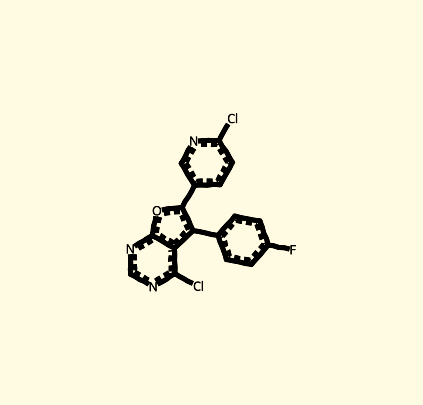 Fc1ccc(-c2c(-c3ccc(Cl)nc3)oc3ncnc(Cl)c23)cc1